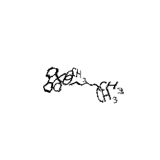 COCC1(C(=O)OCCCCCCC(C)C)c2ccccc2-c2ccccc21